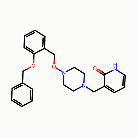 O=c1[nH]cccc1CN1CCN(OCc2ccccc2OCc2ccccc2)CC1